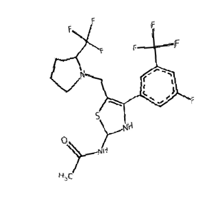 CC(=O)NC1NC(c2cc(F)cc(C(F)(F)F)c2)=C(CN2CCCC2C(F)(F)F)S1